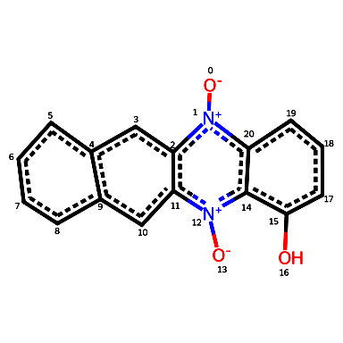 [O-][n+]1c2cc3ccccc3cc2[n+]([O-])c2c(O)cccc21